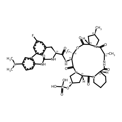 C[C@@H]1C[C@H]2C(=O)O[C@@H](C)[C@H](NC(=O)[C@H](Cc3cc(F)cc(F)c3)NC(=O)Nc3ccc(N(C)C)cc3)C(=O)N3C[C@H](OP(=O)(O)O)C[C@H]3C(=O)N3CCCC[C@H]3C(=O)N[C@@H](C)C(=O)N2C1